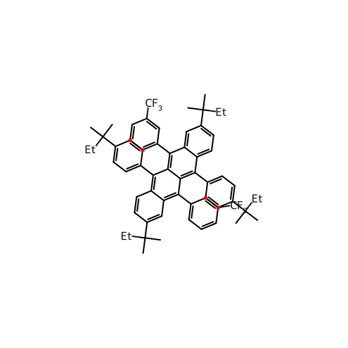 CCC(C)(C)c1ccc(-c2c3ccc(C(C)(C)CC)cc3c(-c3cccc(C(F)(F)F)c3)c3c(-c4ccc(C(C)(C)CC)cc4)c4ccc(C(C)(C)CC)cc4c(-c4cccc(C(F)(F)F)c4)c23)cc1